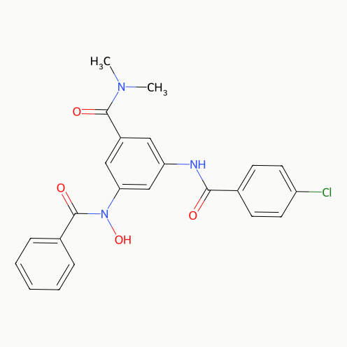 CN(C)C(=O)c1cc(NC(=O)c2ccc(Cl)cc2)cc(N(O)C(=O)c2ccccc2)c1